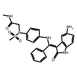 CNC(=O)CN(c1ccc(NC(=C2C(=O)Nc3ccc(N)cc32)c2ccccc2)cc1)S(C)(=O)=O